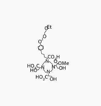 CCOCCOCCOc1ccc(CCC[C@@H](C(=O)O)N2CCN(C(CO)C(=O)O)CCN(C(CO)C(=O)O)CCN(C(CO)C(=O)OC)CC2)cc1